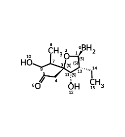 B[C@@H]1O[C@@](CC=O)(C(C)CO)[C@@H](O)[C@H]1CC